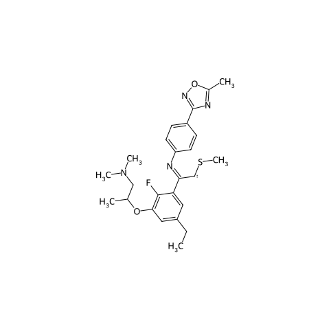 CCc1cc(OC(C)CN(C)C)c(F)c(/C([C]SC)=N/c2ccc(-c3noc(C)n3)cc2)c1